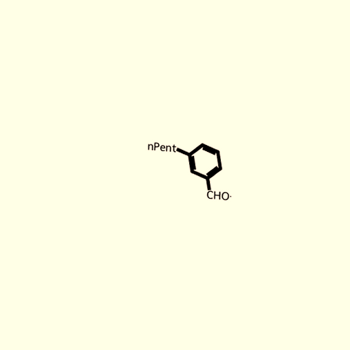 [CH2]CCCCc1cccc([C]=O)c1